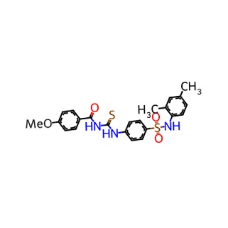 COc1ccc(C(=O)NC(=S)Nc2ccc(S(=O)(=O)Nc3ccc(C)cc3C)cc2)cc1